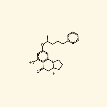 C[C@@H](CCCc1ccccc1)Oc1cc(O)c2c(c1)N1CCC[C@H]1CC2=O